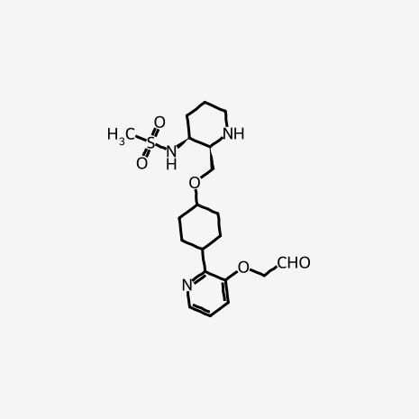 CS(=O)(=O)N[C@H]1CCCN[C@H]1COC1CCC(c2ncccc2OCC=O)CC1